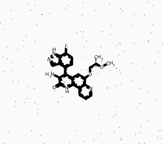 CO[C@@H](C)COc1cc2c(-c3ccc(F)c4[nH]ncc34)c(N)c(=O)[nH]c2c2cccnc12